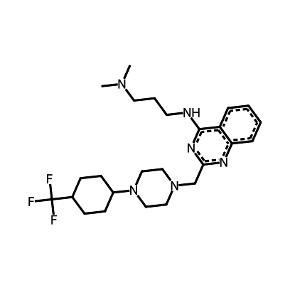 CN(C)CCCNc1nc(CN2CCN(C3CCC(C(F)(F)F)CC3)CC2)nc2ccccc12